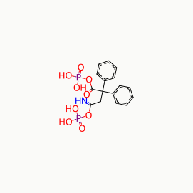 N=C(CC(C(=O)OP(=O)(O)O)(c1ccccc1)c1ccccc1)OP(=O)(O)O